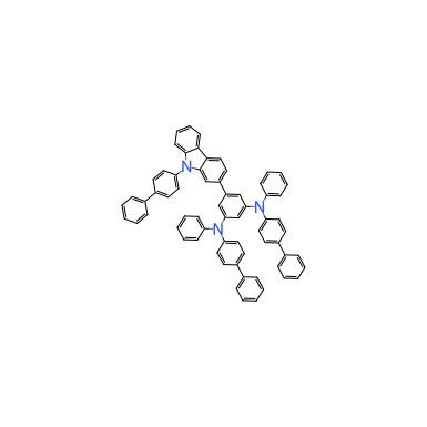 c1ccc(-c2ccc(N(c3ccccc3)c3cc(-c4ccc5c6ccccc6n(-c6ccc(-c7ccccc7)cc6)c5c4)cc(N(c4ccccc4)c4ccc(-c5ccccc5)cc4)c3)cc2)cc1